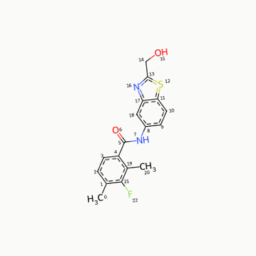 Cc1ccc(C(=O)Nc2ccc3sc(CO)nc3c2)c(C)c1F